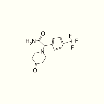 NC(=O)C(c1ccc(C(F)(F)F)cc1)N1CCC(=O)CC1